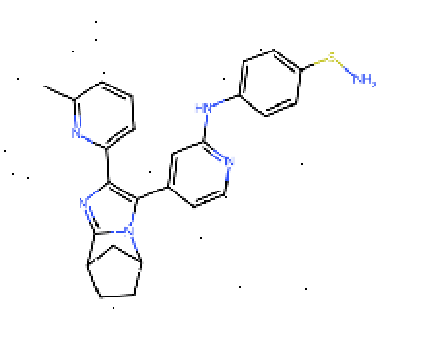 Cc1cccc(-c2nc3n(c2-c2ccnc(Nc4ccc(SN)cc4)c2)C2CCC3C2)n1